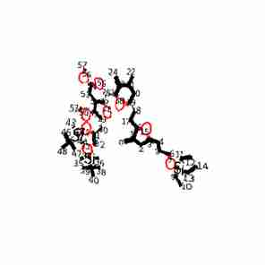 C=C1CC(CCCO[Si](CC)(CC)CC)OC1CC[C@H]1CC(C)C(=C)[C@@H](C[C@@H]2O[C@H](C[C@@H](CO[Si](C)(C)C(C)(C)C)O[Si](C)(C)C(C)(C)C)[C@H](OC)C2CC(=O)OC)O1